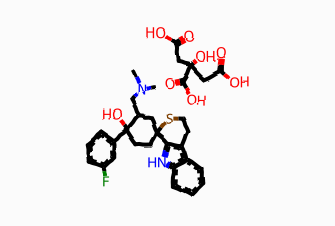 CN(C)CC1CC2(CCC1(O)c1cccc(F)c1)SCCc1c2[nH]c2ccccc12.O=C(O)CC(O)(CC(=O)O)C(=O)O